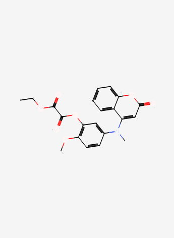 CCOC(=O)C(=O)Oc1cc(N(C)c2cc(=O)oc3ccccc23)ccc1OC